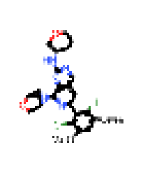 COc1cc(OC)c(Cl)c(-c2cc3cnc(N[C@H]4CCCOC4)nc3c(N3CC4CC3CO4)n2)c1Cl